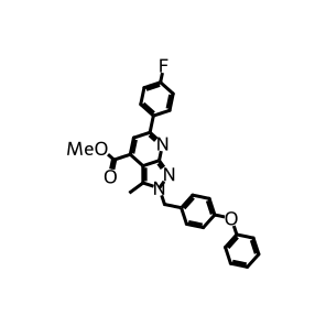 COC(=O)c1cc(-c2ccc(F)cc2)nc2nn(Cc3ccc(Oc4ccccc4)cc3)c(C)c12